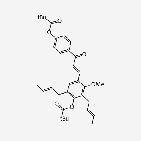 C/C=C/Cc1cc(/C=C/C(=O)c2ccc(OC(=O)C(C)(C)C)cc2)c(OC)c(C/C=C/C)c1OC(=O)C(C)(C)C